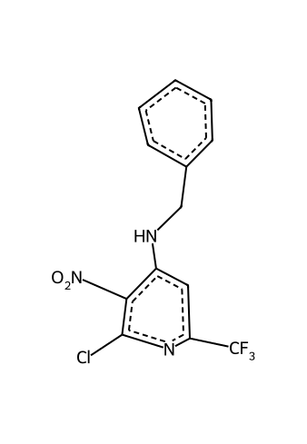 O=[N+]([O-])c1c(NCc2ccccc2)cc(C(F)(F)F)nc1Cl